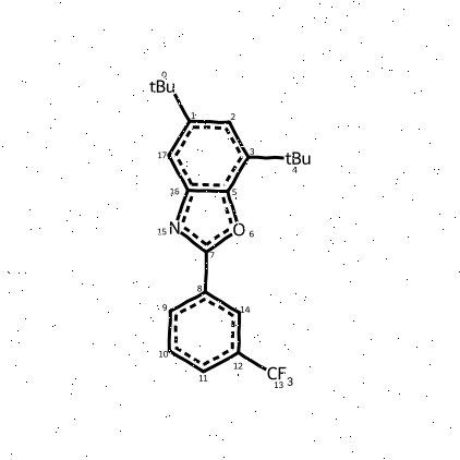 CC(C)(C)c1cc(C(C)(C)C)c2oc(-c3cccc(C(F)(F)F)c3)nc2c1